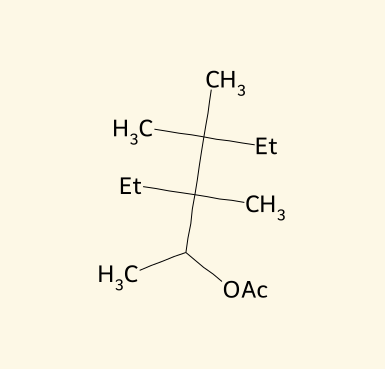 CCC(C)(C)C(C)(CC)C(C)OC(C)=O